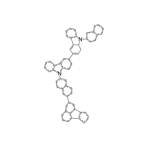 C1=C(c2ccc3c(c2)c2ccccc2n3-c2ccc3cc(-c4cc5c6c(cccc6c4)-c4ccccc4-5)ccc3c2)C=C2c3ccccc3N(c3ccc4ccccc4c3)C2C1